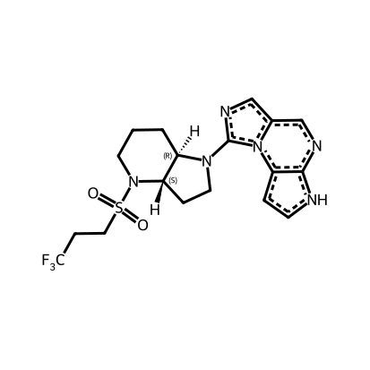 O=S(=O)(CCC(F)(F)F)N1CCC[C@@H]2[C@@H]1CCN2c1ncc2cnc3[nH]ccc3n12